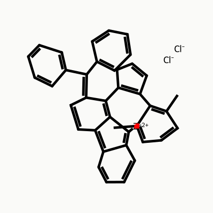 Cc1cccc(C)c1C1=C(c2c3c(ccc2=C(c2ccccc2)c2ccccc2)=c2ccccc2=[C]3[Zr+2])CC=C1.[Cl-].[Cl-]